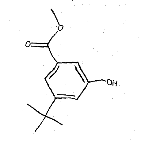 COC(=O)c1cc(O)cc(C(C)(C)C)c1